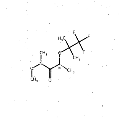 CON(C)C(=O)[C@@H](C)OC(C)(C)C(F)(F)F